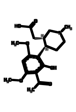 COc1cc(OC)c([C@H]2CCN(C)C[C@H]2CC(=O)O)c(O)c1C(C)=O